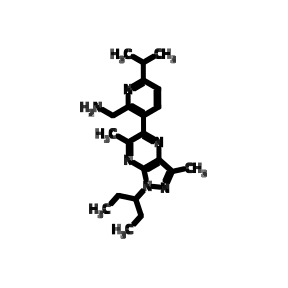 CCC(CC)n1nc(C)c2nc(-c3ccc(C(C)C)nc3CN)c(C)nc21